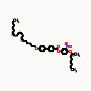 CCCCC/C=C\C/C=C\C/C=C\CCCCCOc1ccc(-c2ccc(C(=O)Oc3ccc(O[C@@H](C)CCCCCC)c([N+](=O)[O-])c3)cc2)cc1